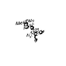 COc1cc2nccc(Oc3ccc(NC(=O)c4c(C)c(CC5CO5)cn(-c5ccc(F)cc5)c4=O)cc3F)c2cc1OC